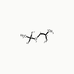 CC(F)COC(C)(F)F